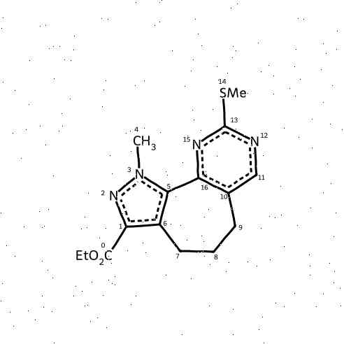 CCOC(=O)c1nn(C)c2c1CCCc1cnc(SC)nc1-2